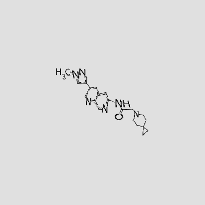 Cn1cc(-c2cnc3cnc(NC(=O)CN4CCC5(CC4)CC5)cc3c2)cn1